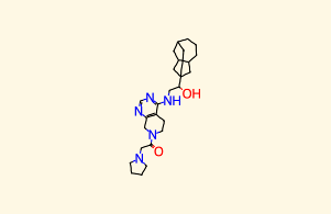 O=C(CN1CCCC1)N1CCc2c(ncnc2NCC(O)C23CC4CCCC(C2)C(C4)C3)C1